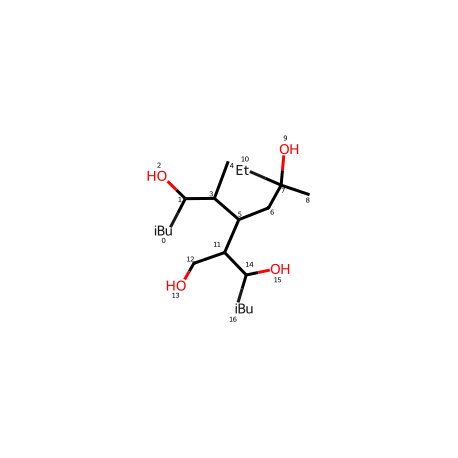 CCC(C)C(O)C(C)C(CC(C)(O)CC)C(CO)C(O)C(C)CC